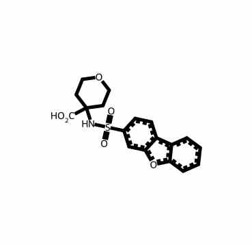 O=C(O)C1(NS(=O)(=O)c2ccc3c(c2)oc2ccccc23)CCOCC1